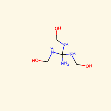 NC(NCO)(NCO)NCO